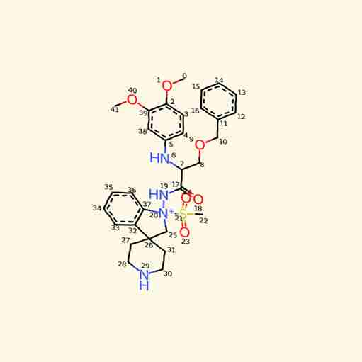 COc1ccc(NC(COCc2ccccc2)C(=O)N[N+]2(S(C)(=O)=O)CC3(CCNCC3)c3ccccc32)cc1OC